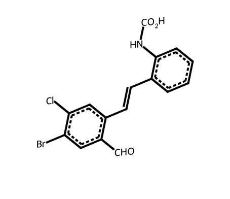 O=Cc1cc(Br)c(Cl)cc1/C=C/c1ccccc1NC(=O)O